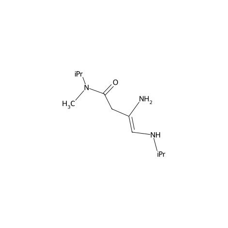 CC(C)N/C=C(\N)CC(=O)N(C)C(C)C